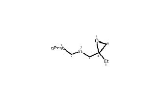 CCCCCCOCC1(CC)CO1